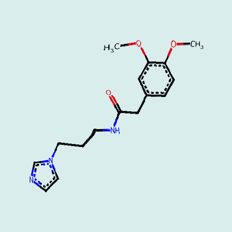 COc1ccc(CC(=O)NCCCn2ccnc2)cc1OC